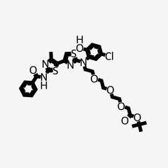 Cc1nc(NC(=O)c2ccccc2)sc1-c1csc(N(CCOCCOCCOCC(=O)OC(C)(C)C)c2cc(Cl)ccc2O)n1